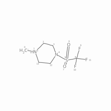 [CH2-][NH+]1CCN(S(=O)(=O)C(F)(F)F)CC1